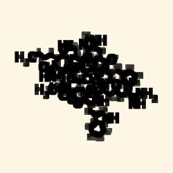 CCCC[C@@H](C(=O)N[C@@H](CS)C(=O)N[C@H](C)C(=O)N[C@@H](Cc1cnc[nH]1)C(=O)N[C@H](Cc1ccccc1)C(=O)N[C@@H](CCCNC(=N)N)C(=O)N[C@@H](Cc1c[nH]c2ccccc12)C(=O)N[C@@H](CS)C(N)=O)N1C(=O)N[C@@H](CC(C)C)C1=O